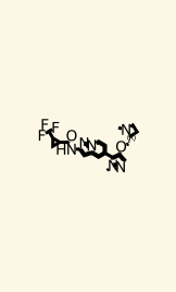 CN1CC[C@@H]1COc1cnn(C)c1-c1ccn2nc(NC(=O)C3CC3C(F)(F)F)cc2c1